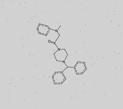 CN(CC(=O)N1CCN(C(c2ccccc2)c2ccccc2)CC1)c1ccccc1